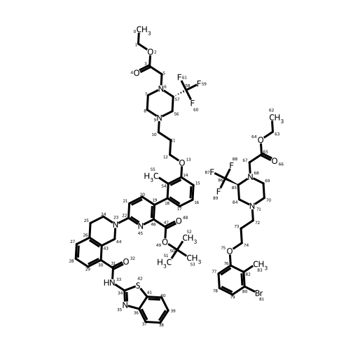 CCOC(=O)CN1CCN(CCCOc2cccc(-c3ccc(N4CCc5cccc(C(=O)Nc6nc7ccccc7s6)c5C4)nc3C(=O)OC(C)(C)C)c2C)C[C@H]1C(F)(F)F.CCOC(=O)CN1CCN(CCCOc2cccc(Br)c2C)C[C@H]1C(F)(F)F